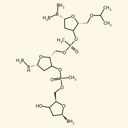 BB[C@H]1CC(OP(C)(=O)OC[C@H]2O[C@@H](B)CC2O)[C@@H](COP(C)(=O)OC2C[C@H](B(B)B)O[C@@H]2COC(C)C)O1